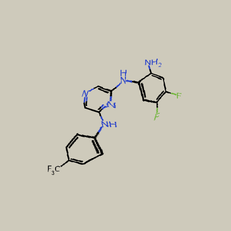 Nc1cc(F)c(F)cc1Nc1cncc(Nc2ccc(C(F)(F)F)cc2)n1